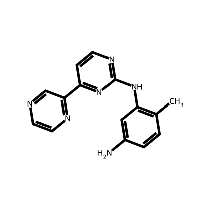 Cc1ccc(N)cc1Nc1nccc(-c2cnccn2)n1